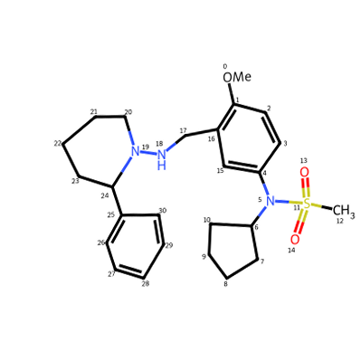 COc1ccc(N(C2CCCC2)S(C)(=O)=O)cc1CNN1CCCCC1c1ccccc1